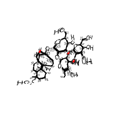 CC1O[C@@H](OC2C(O[C@@H]3OC(CO)[C@@H](O)C(O)C3O)[C@H](O)C(CO)O[C@H]2O[C@]23CC[C@@H]4[C@](CCC5[C@](C)(C(=O)O)CCC[C@]54C)(CC2)[C@H]3C)C(O)C(O)[C@H]1O